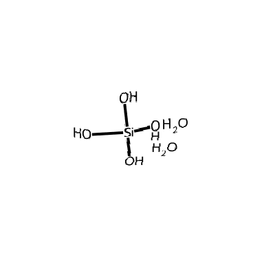 O.O.O[Si](O)(O)O